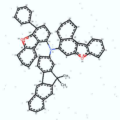 CC1(C)c2cc(N(c3cc4oc5ccccc5c4c4ccccc34)c3ccc(-c4ccccc4)c4oc5ccccc5c34)ccc2-c2cc3ccccc3cc21